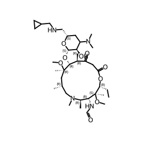 CC[C@H]1OC(=O)CC(=O)[C@H](C)[C@@H](O[C@@H]2O[C@H](CNCC3CC3)CC(N(C)C)[C@H]2O)[C@](C)(OC)C[C@@H](C)CN(C)[C@H](C)[C@@H](NC=O)[C@]1(C)OC